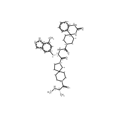 CN[C@@H](C)C(=O)N1CCC2(CC1)CCN(C(=O)[C@H](Cc1cc(C)c3[nH]ncc3c1)NC(=O)N1CCC3(CC1)OC(=O)Nc1ncccc13)C2